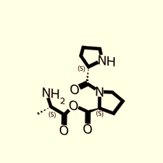 C[C@H](N)C(=O)OC(=O)[C@@H]1CCCN1C(=O)[C@@H]1CCCN1